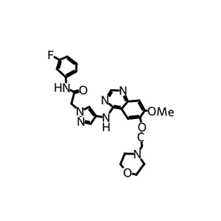 COc1cc2ncnc(Nc3cnn(CC(=O)Nc4cccc(F)c4)c3)c2cc1OCCN1CCOCC1